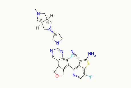 CN1C[C@@H]2CN([C@H]3CCN(c4ncc5c6c(c(-c7ncc(F)c8sc(N)c(C#N)c78)c(F)c5n4)COC6)C3)C[C@@H]2C1